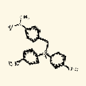 CN(C)c1ccc(C[SiH](c2ccc(C=O)cc2)c2ccc(C=O)cc2)cc1